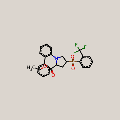 CCOC(=O)C1CC(S(=O)(=O)c2ccccc2C(F)(F)F)CN1c1ccccc1-c1ccccc1